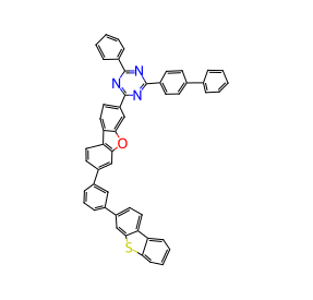 c1ccc(-c2ccc(-c3nc(-c4ccccc4)nc(-c4ccc5c(c4)oc4cc(-c6cccc(-c7ccc8c(c7)sc7ccccc78)c6)ccc45)n3)cc2)cc1